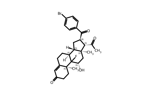 CC(=O)[C@H]1[C@H](C(=O)c2ccc(Br)cc2)C[C@H]2[C@@H]3CCC4=CC(=O)CC[C@]4(C)C3(F)[C@@H](O)C[C@@]21C